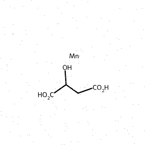 O=C(O)CC(O)C(=O)O.[Mn]